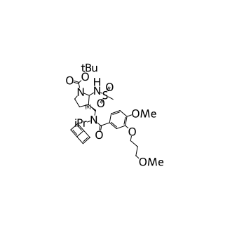 COCCCOc1cc(C(=O)N(C[C@H]2CCN(C(=O)OC(C)(C)C)C2NS(C)(=O)=O)C(C)C)ccc1OC.c1cc2ccc1-2